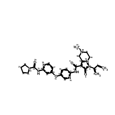 C=CC(=C)n1c(=O)c(C(=O)Nc2ccc(Oc3ccnc(NC(=O)N4CCCC4)c3)cn2)c2n1CCN(C)C2